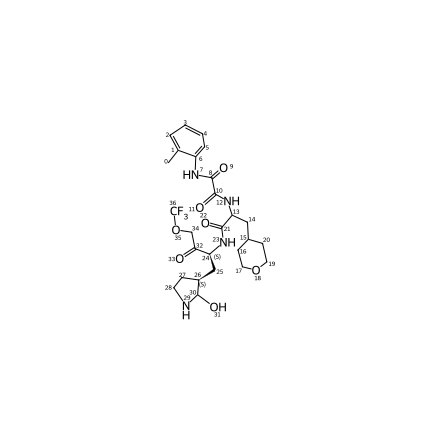 Cc1ccccc1NC(=O)C(=O)NC(CC1CCOCC1)C(=O)N[C@@H](C[C@@H]1CCNC1O)C(=O)COC(F)(F)F